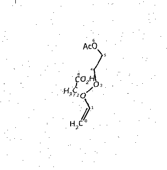 C=COOCCOC(C)=O.CC(=O)O